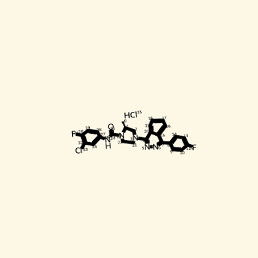 C[C@H]1CN(c2nnc(-c3ccc(F)cc3)c3ccccc23)CCN1C(=O)Nc1ccc(F)c(Cl)c1.Cl